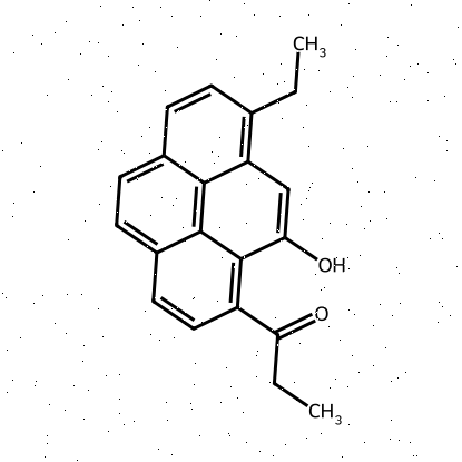 CCC(=O)c1ccc2ccc3ccc(CC)c4cc(O)c1c2c34